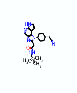 C[Si](C)(C)CNC(=O)Cc1nc2cnc3[nH]ccc3c2n1[C@H]1CC[C@@H](CC#N)CC1